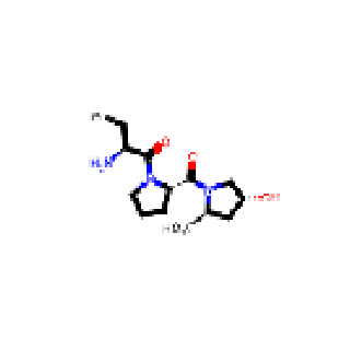 CC(C)C[C@H](N)C(=O)N1CCC[C@H]1C(=O)N1C[C@H](O)C[C@H]1C(=O)O